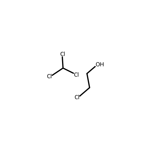 ClC(Cl)Cl.OCCCl